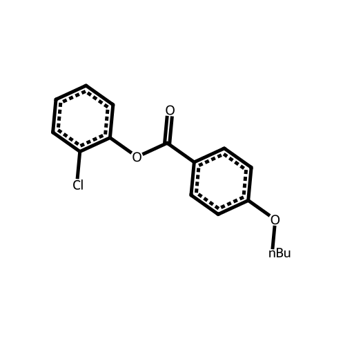 CCCCOc1ccc(C(=O)Oc2ccccc2Cl)cc1